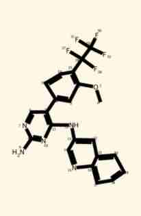 COc1cc(-c2cnc(N)nc2Nc2cnc3ccccc3c2)ccc1C(F)(F)C(F)(F)F